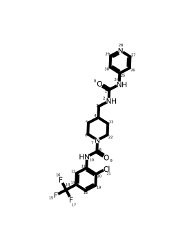 O=C(NCC1CCN(C(=O)Nc2cc(C(F)(F)F)ccc2Cl)CC1)Nc1ccncc1